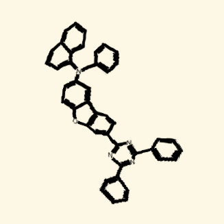 c1ccc(-c2nc(-c3ccccc3)nc(-c3ccc4c(c3)oc3ccc(N(c5ccccc5)c5cccc6ccccc56)cc34)n2)cc1